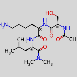 CC(=O)N[C@H](CO)C(=O)N[C@H](CCCCN)C(=O)N[C@H](CC(C)C)C(=O)N(C)C